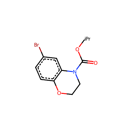 CC(C)OC(=O)N1CCOc2ccc(Br)cc21